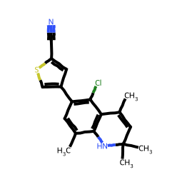 CC1=CC(C)(C)Nc2c(C)cc(-c3csc(C#N)c3)c(Cl)c21